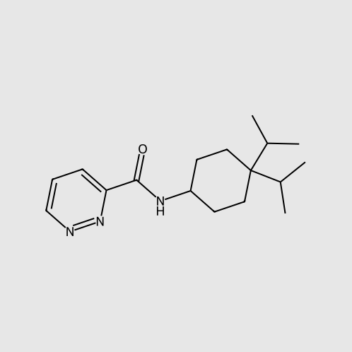 CC(C)C1(C(C)C)CCC(NC(=O)c2cccnn2)CC1